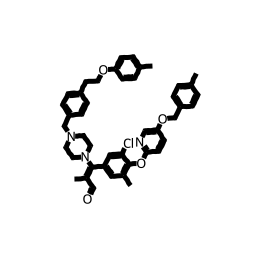 C/C(C=O)=C(/c1cc(C)c(Oc2ccc(OCc3ccc(C)cc3)cn2)c(Cl)c1)N1CCN(Cc2ccc(CCOc3ccc(C)cc3)cc2)CC1